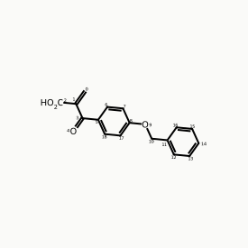 C=C(C(=O)O)C(=O)c1ccc(OCc2ccccc2)cc1